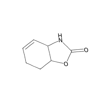 O=C1NC2C=CCCC2O1